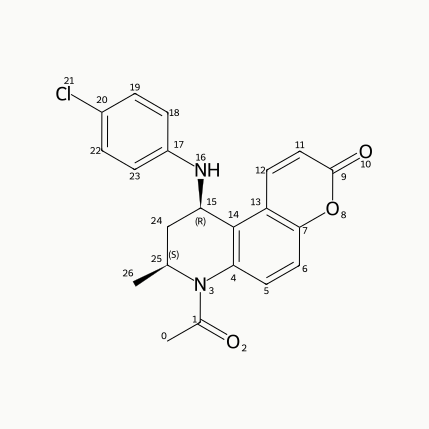 CC(=O)N1c2ccc3oc(=O)ccc3c2[C@H](Nc2ccc(Cl)cc2)C[C@@H]1C